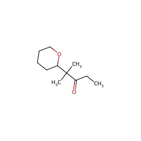 CCC(=O)C(C)(C)C1CCCCO1